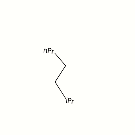 CCCCCC(C)C